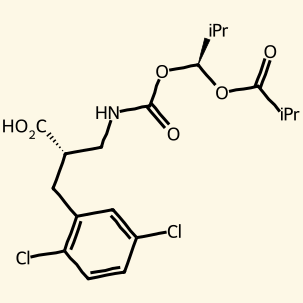 CC(C)C(=O)O[C@@H](OC(=O)NC[C@H](Cc1cc(Cl)ccc1Cl)C(=O)O)C(C)C